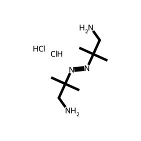 CC(C)(CN)N=NC(C)(C)CN.Cl.Cl